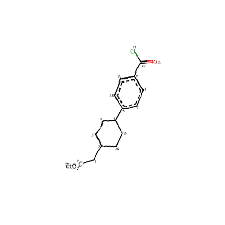 CCOC(=O)CC1CCC(c2ccc(C(=O)Cl)cc2)CC1